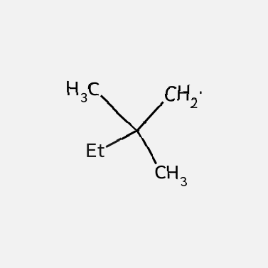 [CH2]CC([CH2])(C)C